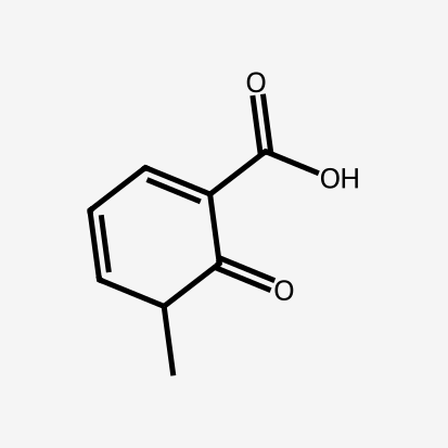 CC1C=CC=C(C(=O)O)C1=O